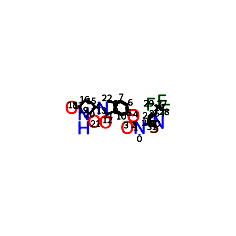 CN(C(=O)Oc1ccc2c(c1)C(=O)N(C1CCC(=O)NC1=O)C2)c1cc(C(F)(F)F)ns1